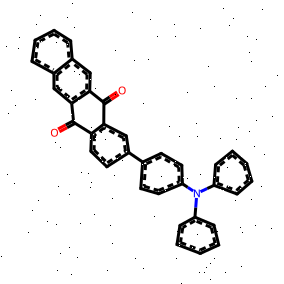 O=C1c2ccc(-c3ccc(N(c4ccccc4)c4ccccc4)cc3)cc2C(=O)c2cc3ccccc3cc21